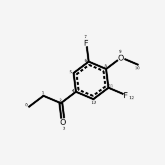 CCC(=O)c1cc(F)c(OC)c(F)c1